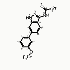 CCCC(=O)Nc1n[nH]c2cc(-c3cccc(OC(F)(F)F)c3)ccc12